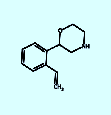 C=Cc1ccccc1C1CNCCO1